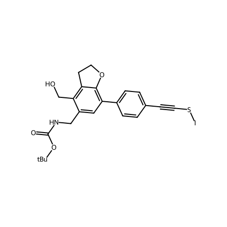 CC(C)(C)OC(=O)NCc1cc(-c2ccc(C#CSI)cc2)c2c(c1CO)CCO2